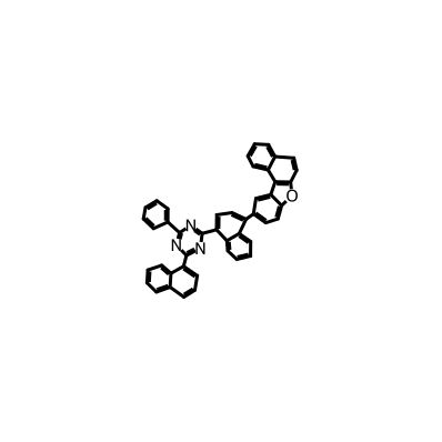 c1ccc(-c2nc(-c3cccc4ccccc34)nc(-c3ccc(-c4ccc5oc6ccc7ccccc7c6c5c4)c4ccccc34)n2)cc1